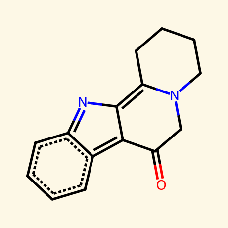 O=C1CN2CCCCC2=C2N=c3ccccc3=C12